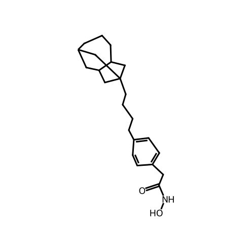 O=C(Cc1ccc(CCCCC23CC4CCCC(C2)C(C4)C3)cc1)NO